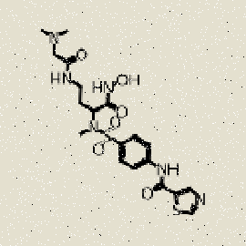 CN(C)CC(=O)NCCC(C(=O)NO)N(C)S(=O)(=O)c1ccc(NC(=O)c2cncs2)cc1